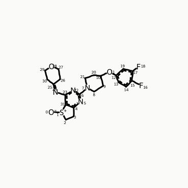 [O-][S+]1CCc2nc(N3CCC(Oc4ccc(F)c(F)c4)CC3)nc(N=C3CCOCC3)c21